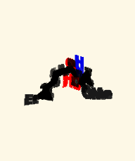 CCC1CC1CC/C=C\CC(=O)CNC1(C(O)OC)CC1